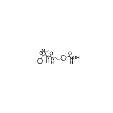 Cc1noc(-c2ccccc2)c1NC(=O)NCCc1ccc(C(=O)NO)cc1